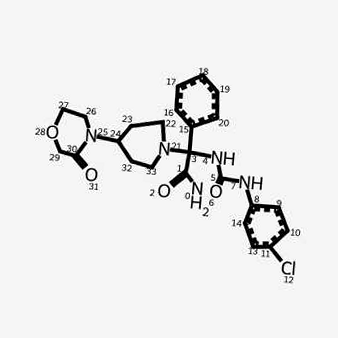 NC(=O)C(NC(=O)Nc1ccc(Cl)cc1)(c1ccccc1)N1CCC(N2CCOCC2=O)CC1